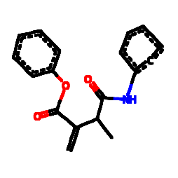 C=C(C(=O)Oc1ccccc1)C(C)C(=O)Nc1ccccc1